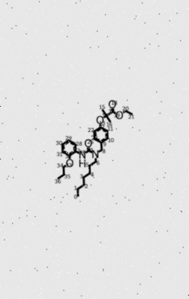 CCCCCCCN(Cc1ccc(OC(C)(C)C(=O)OCC)cc1)C(=O)Nc1ccccc1OCCC